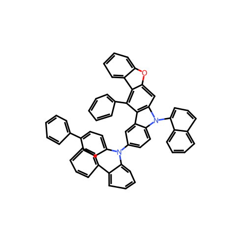 c1ccc(-c2ccc(N(c3ccc4c(c3)c3c(-c5ccccc5)c5c(cc3n4-c3cccc4ccccc34)oc3ccccc35)c3ccccc3-c3ccccc3)cc2)cc1